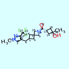 Cn1cc(CC2CC3(C2)CN(C(=O)[C@H]2C[C@@](C)(O)C2)C3)c(C(F)(F)F)n1